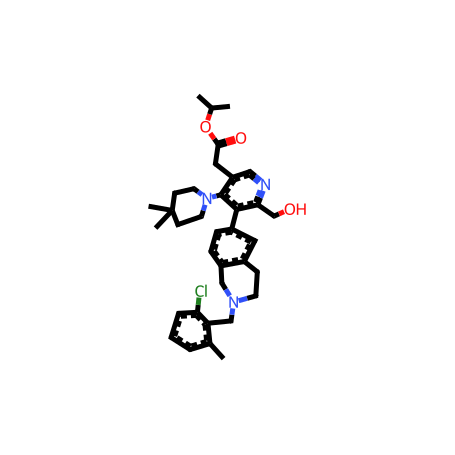 Cc1cccc(Cl)c1CN1CCc2cc(-c3c(CO)ncc(CC(=O)OC(C)C)c3N3CCC(C)(C)CC3)ccc2C1